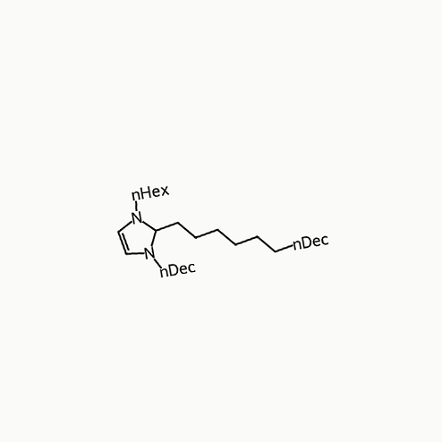 CCCCCCCCCCCCCCCCC1N(CCCCCC)C=CN1CCCCCCCCCC